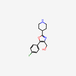 OCc1nc(C2CCNCC2)oc1-c1ccc(F)cc1